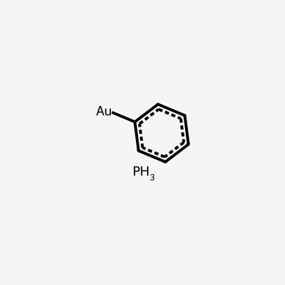 P.[Au][c]1ccccc1